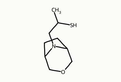 CC(S)CN1C2CCC1COC2